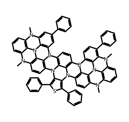 CN1c2cc(-c3ccccc3)cc3c2N2c4c1cccc4N(C)c1ccc4c(c12)B3c1ccc2c3c1N4c1c(-c4ccccc4)sc(-c4ccccc4)c1N3c1ccc3c4c1B2c1ccc(-c2ccccc2)c2c1N4c1c(cccc1N2C)N3C